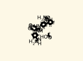 CC(=O)O.N=C(N)c1cccc(NC2(C(=O)Nc3ccc(-c4ccccc4S(N)(=O)=O)cc3)CCS(=O)(=O)CC2)c1